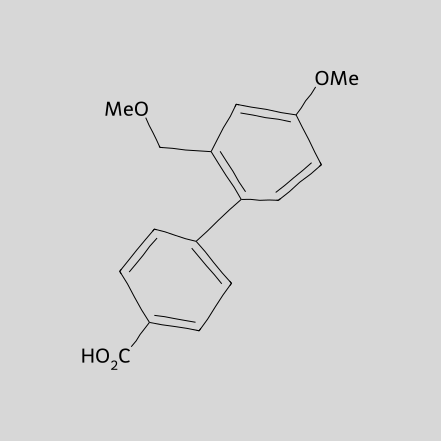 COCc1cc(OC)ccc1-c1ccc(C(=O)O)cc1